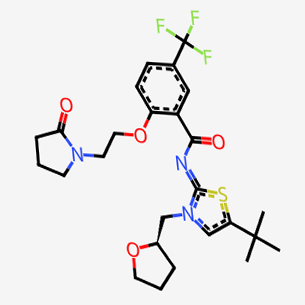 CC(C)(C)c1cn(C[C@H]2CCCO2)/c(=N/C(=O)c2cc(C(F)(F)F)ccc2OCCN2CCCC2=O)s1